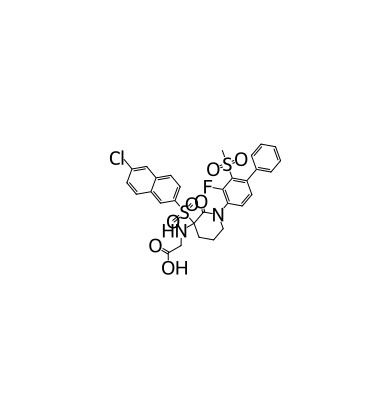 CS(=O)(=O)c1c(-c2ccccc2)ccc(N2CCCC(NCC(=O)O)(S(=O)(=O)c3ccc4cc(Cl)ccc4c3)C2=O)c1F